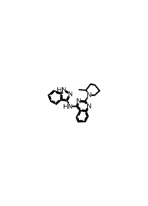 CC1CCCCN1c1nc(Nc2n[nH]c3ccccc23)c2ccccc2n1